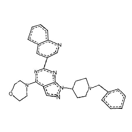 c1ccc(CN2CCC(n3ncc4c(N5CCOCC5)nc(-c5cnc6ccccc6c5)nc43)CC2)cc1